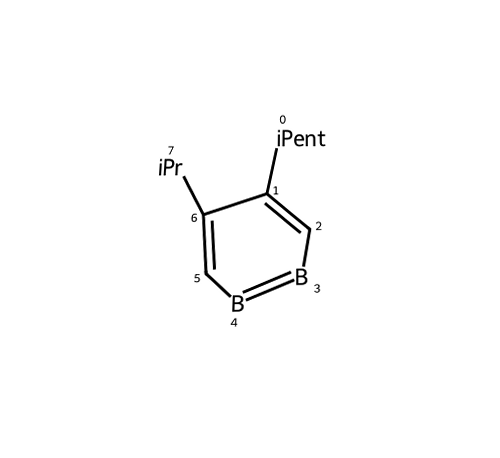 CCCC(C)c1cbbcc1C(C)C